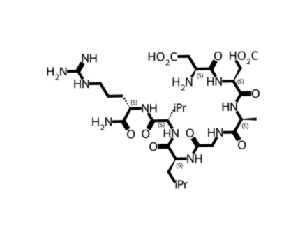 CC(C)C[C@H](NC(=O)CNC(=O)[C@H](C)NC(=O)[C@H](CC(=O)O)NC(=O)[C@@H](N)CC(=O)O)C(=O)N[C@H](C(=O)N[C@@H](CCCNC(=N)N)C(N)=O)C(C)C